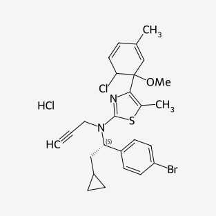 C#CCN(c1nc(C2(OC)C=C(C)C=CC2Cl)c(C)s1)[C@@H](CC1CC1)c1ccc(Br)cc1.Cl